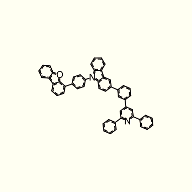 c1ccc(-c2cc(-c3cccc(-c4ccc5c(c4)c4ccccc4n5-c4ccc(-c5cccc6c5oc5ccccc56)cc4)c3)cc(-c3ccccc3)n2)cc1